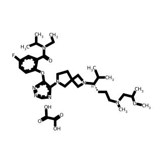 CCN(C(=O)c1cc(F)ccc1Oc1nncnc1N1CCC2(C1)CN([C@@H](CCCN(C)CC(C)OC)C(C)C)C2)C(C)C.O=C(O)C(=O)O